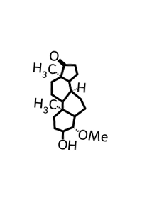 CO[C@@H]1C(O)CC[C@@]2(C)C3CC[C@@]4(C)C(=O)CCC4[C@H]3CCC12